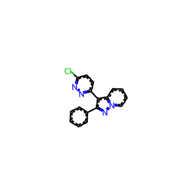 Clc1ccc(-c2c(-c3ccccc3)nn3ccccc23)nn1